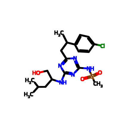 CC(C)CC(CO)Nc1nc(CC(C)c2ccc(Cl)cc2)nc(NS(C)(=O)=O)n1